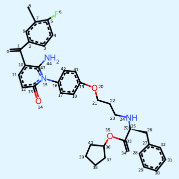 C=C(c1ccc(F)c(C)c1)c1ccc(=O)n(-c2ccc(OCCCN[C@@H](Cc3ccccc3)C(=C)OC3CCCC3)cc2)c1N